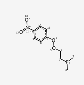 CP(C)CCOOc1ccc([N+](=O)[O-])cc1